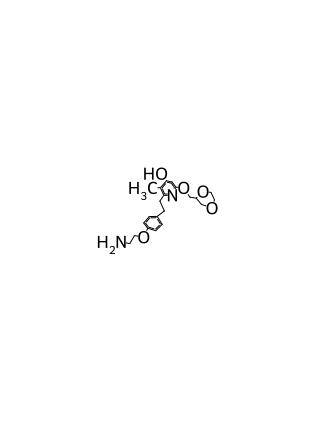 Cc1c(O)cc(OCC2COCCO2)nc1CCc1ccc(OCCN)cc1